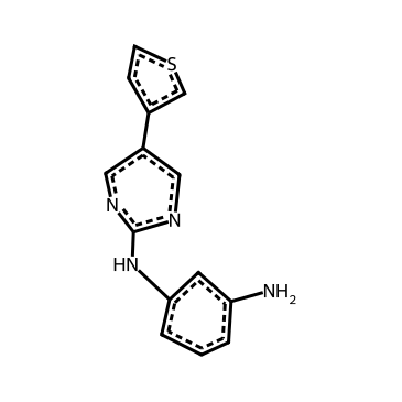 Nc1cccc(Nc2ncc(-c3ccsc3)cn2)c1